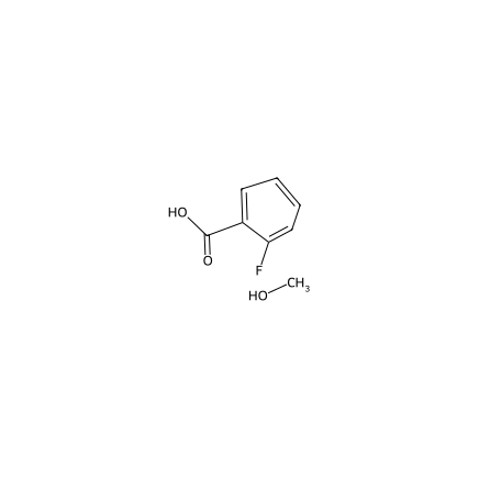 CO.O=C(O)c1ccccc1F